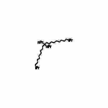 CCCC(CCC)(CCCCCCCCCC(C)C)CCCCCCCCCC(C)C